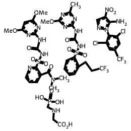 COc1cc(OC)nc(NC(=O)NS(=O)(=O)c2ncccc2C(=O)N(C)C)n1.COc1nc(C)nc(NC(=O)NS(=O)(=O)c2ccccc2CCC(F)(F)F)n1.Nc1c([N+](=O)[O-])cnn1-c1c(Cl)cc(C(F)(F)F)cc1Cl.O=C(O)CNCP(=O)(O)O